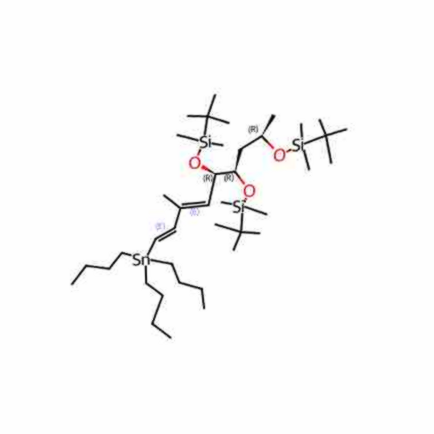 CCC[CH2][Sn](/[CH]=C/C(C)=C/[C@@H](O[Si](C)(C)C(C)(C)C)[C@@H](C[C@@H](C)O[Si](C)(C)C(C)(C)C)O[Si](C)(C)C(C)(C)C)([CH2]CCC)[CH2]CCC